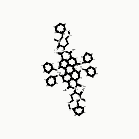 CSCCC(C(=O)N(C)Cc1ccccc1)N1C(=O)c2cc(Oc3ccccc3)c3c4c(Oc5ccccc5)cc5c6c(cc(Oc7ccccc7)c(c7c(Oc8ccccc8)cc(c2c37)C1=O)c64)C(=O)N(C(CCSC)C(=O)N(C)Cc1ccccc1)C5=O